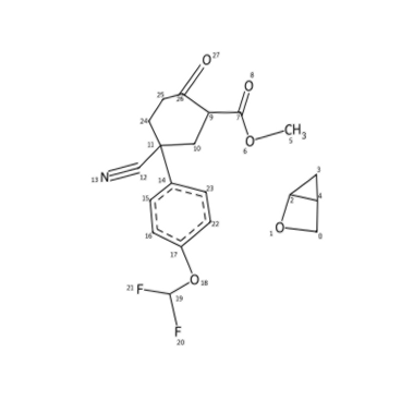 C1OC2CC12.COC(=O)C1CC(C#N)(c2ccc(OC(F)F)cc2)CCC1=O